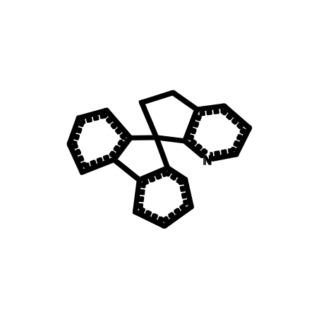 c1cnc2c(c1)CCC21c2ccccc2-c2ccccc21